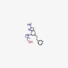 CNc1nc2c(s1)CN(SCc1ccccc1)C=C2NC(C)(C)CO